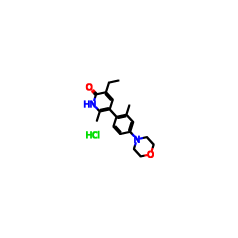 CCc1cc(-c2ccc(N3CCOCC3)cc2C)c(C)[nH]c1=O.Cl